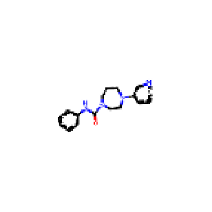 O=C(Nc1ccccc1)N1CCCN(c2cccnc2)CC1